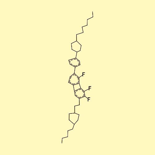 CCCCCCCC1CCC(c2ccc(-c3ccc4c(c3F)-c3c-4cc(CCC4CCC(CCCCC)CC4)c(F)c3F)cc2)CC1